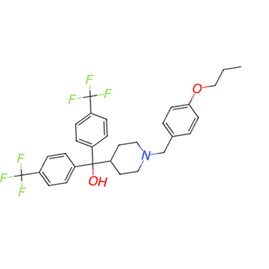 CCCOc1ccc(CN2CCC(C(O)(c3ccc(C(F)(F)F)cc3)c3ccc(C(F)(F)F)cc3)CC2)cc1